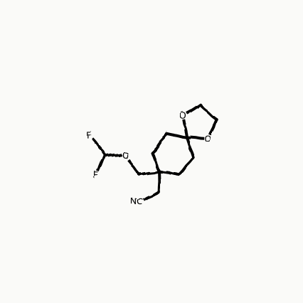 N#CCC1(COC(F)F)CCC2(CC1)OCCO2